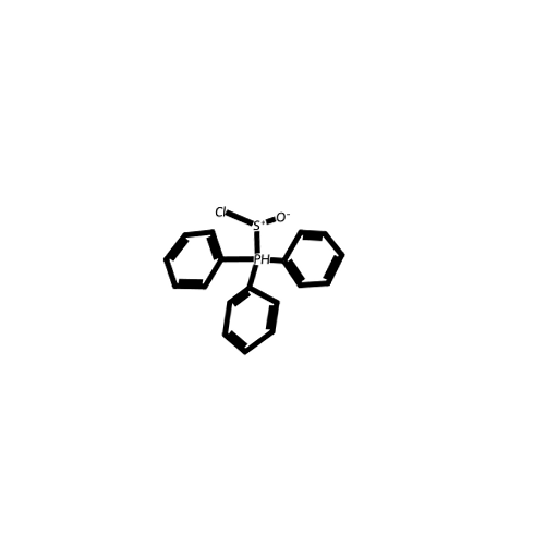 [O-][S+](Cl)[PH](c1ccccc1)(c1ccccc1)c1ccccc1